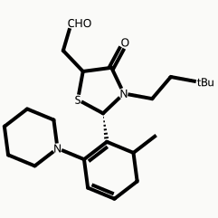 CC1CC=CC(N2CCCCC2)=C1[C@@H]1SC(CC=O)C(=O)N1CCC(C)(C)C